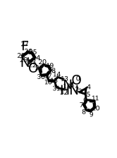 O=C(N[C@@H]1CC1c1ccccc1)N1CCC(=Cc2cccc(Oc3ccc(F)cn3)c2)CC1